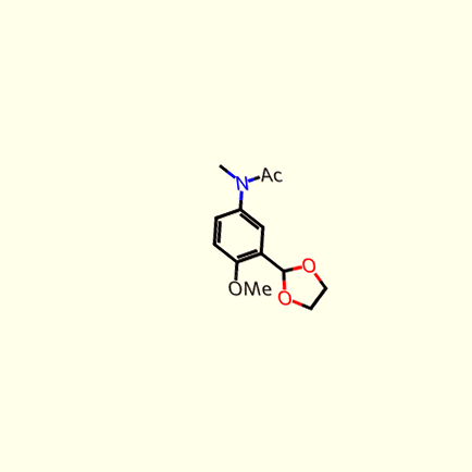 COc1ccc(N(C)C(C)=O)cc1C1OCCO1